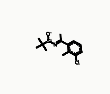 CC(=N[S+]([O-])C(C)(C)C)c1cccc(Cl)c1C